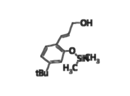 C[SiH](C)Oc1cc(C(C)(C)C)ccc1/C=C/CO